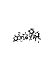 CC(C)(C)[Si](OCC1CCC(N2C(=O)c3ccccc3C2=O)CO1)(c1ccccc1)c1ccccc1